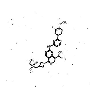 CCS(=N)(=O)CC1CN(c2ncc(C(C)C)c3cc(Nc4ccnc(N5CC[C@@H](OC)[C@@H](F)C5)n4)ncc23)C1